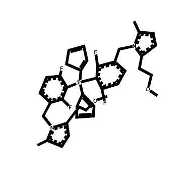 COCCc1ccc(C)n1Cc1ccc(F)[c]([Ti]([C]2=CC=CC2)([C]2=CC=CC2)[c]2c(F)ccc(Cn3c(C)ccc3CCOC)c2F)c1F